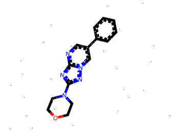 c1ccc(-c2cnc3nc(N4CCOCC4)nn3c2)cc1